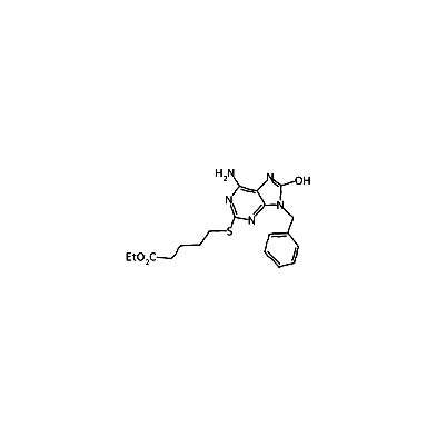 CCOC(=O)CCCCSc1nc(N)c2nc(O)n(Cc3ccccc3)c2n1